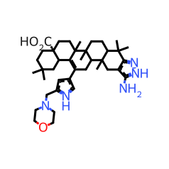 CC1(C)CCC2(C(=O)O)CCC3(C)C(=C(c4c[nH]c(CN5CCOCC5)c4)CC4C5(C)Cc6c(n[nH]c6N)C(C)(C)C5CCC43C)C2C1